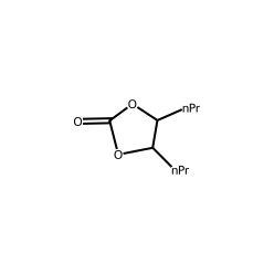 CCCC1OC(=O)OC1CCC